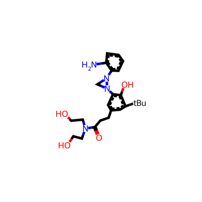 CC(C)(C)c1cc(CCC(=O)N(CCO)CCO)cc(N2CN2c2ccccc2N)c1O